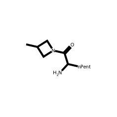 CCCCCC(N)C(=O)N1CC(C)C1